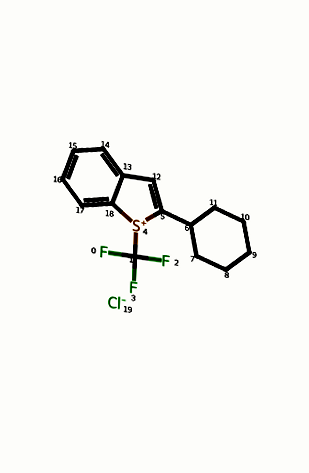 FC(F)(F)[s+]1c(C2CCCCC2)cc2ccccc21.[Cl-]